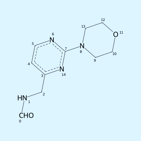 O=CNCc1ccnc(N2CCOCC2)n1